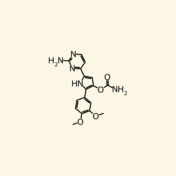 COc1ccc(-c2[nH]c(-c3ccnc(N)n3)cc2OC(N)=O)cc1OC